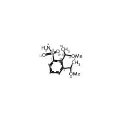 COC(C)c1cccc(S(N)(=O)=O)c1C(C)OC